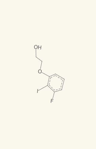 OCCOc1cccc(F)c1I